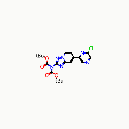 CC(C)(C)OC(=O)N(C(=O)OC(C)(C)C)c1nc2cc(-c3cncc(Cl)n3)ccn2n1